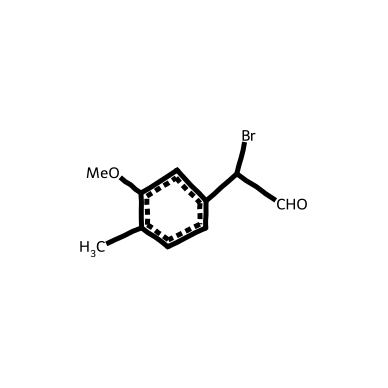 COc1cc(C(Br)C=O)ccc1C